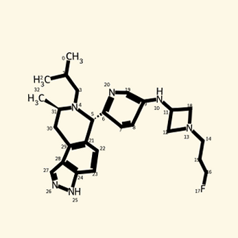 CC(C)CN1[C@H](c2ccc(NC3CN(CCCF)C3)cn2)c2ccc3[nH]ncc3c2C[C@H]1C